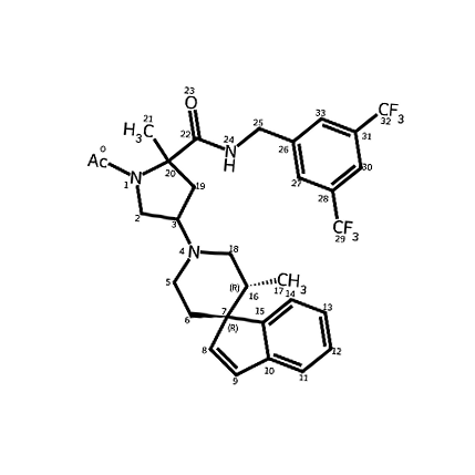 CC(=O)N1CC(N2CC[C@@]3(C=Cc4ccccc43)[C@@H](C)C2)CC1(C)C(=O)NCc1cc(C(F)(F)F)cc(C(F)(F)F)c1